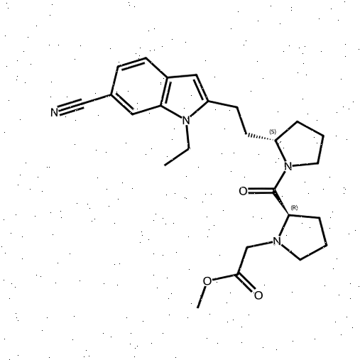 CCn1c(CC[C@@H]2CCCN2C(=O)[C@H]2CCCN2CC(=O)OC)cc2ccc(C#N)cc21